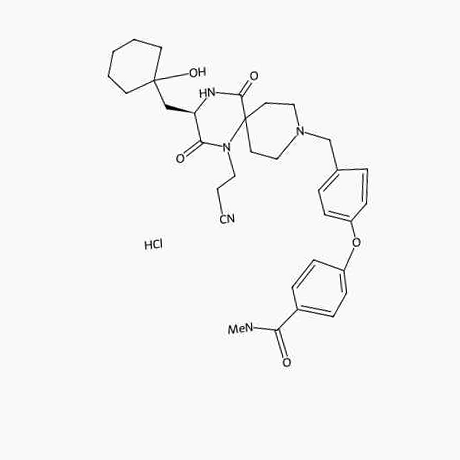 CNC(=O)c1ccc(Oc2ccc(CN3CCC4(CC3)C(=O)N[C@H](CC3(O)CCCCC3)C(=O)N4CCC#N)cc2)cc1.Cl